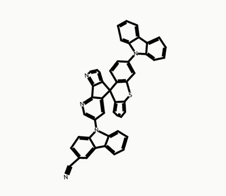 N#Cc1ccc2c(c1)c1ccccc1n2-c1cnc2c(c1)C1(c3ccccc3Sc3cc(-n4c5ccccc5c5ccccc54)ccc31)c1cccnc1-2